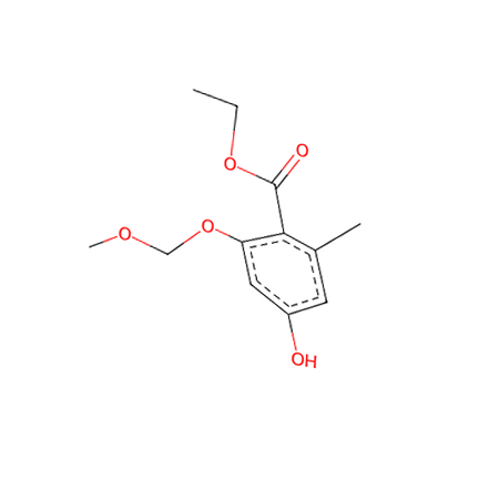 CCOC(=O)c1c(C)cc(O)cc1OCOC